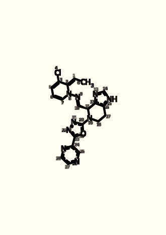 C/C=C1/C(Cl)=CC=CN1/N=C/[C@H]1c2nc[nH]c2CCN1c1nnc(-c2cnccn2)o1